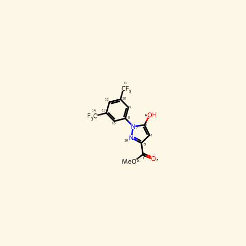 COC(=O)c1cc(O)n(-c2cc(C(F)(F)F)cc(C(F)(F)F)c2)n1